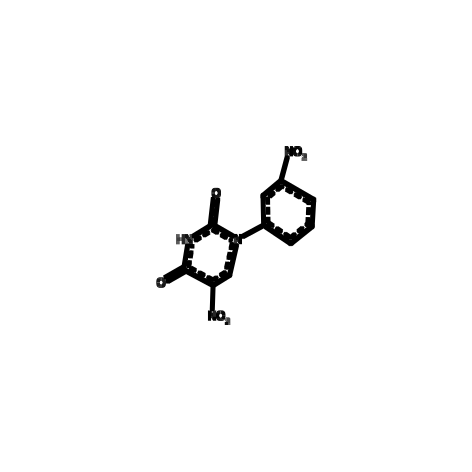 O=c1[nH]c(=O)n(-c2cccc([N+](=O)[O-])c2)cc1[N+](=O)[O-]